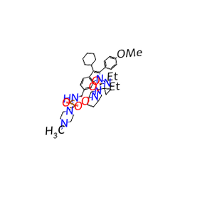 CCN(CC)C(=O)N1CC2CCC(C1)N2C(=O)C1(Cn2c(-c3ccc(OC)cc3)c(C3CCCCC3)c3ccc(C(=O)NS(=O)(=O)N4CCN(C)CC4)cc32)CC1